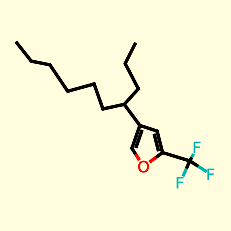 CCCCCCC(CCC)c1coc(C(F)(F)F)c1